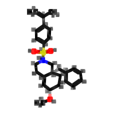 C=C(C)c1ccc(S(=O)(=O)N2CCC3=C[C@@H](OC)CC[C@]3(Cc3ccccc3)C2)cc1